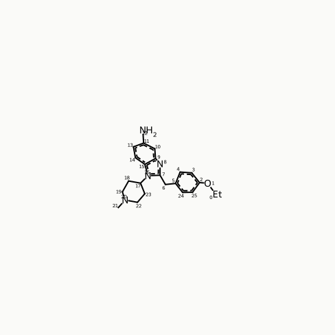 CCOc1ccc(Cc2nc3cc(N)ccc3n2C2CCN(C)CC2)cc1